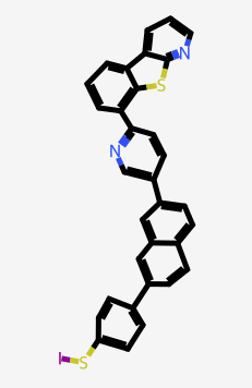 ISc1ccc(-c2ccc3ccc(-c4ccc(-c5cccc6c5sc5ncccc56)nc4)cc3c2)cc1